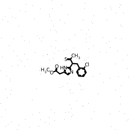 COC(=O)Cc1cnc(C(Cc2ccccc2Cl)C(C)=S)[nH]1